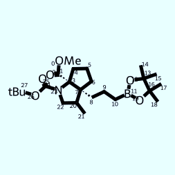 COC(=O)[C@]12CCC[C@@]1(CCCB1OC(C)(C)C(C)(C)O1)C(C)CN2C(=O)OC(C)(C)C